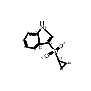 O=S(=O)(c1c[nH]c2ccccc12)C1CC1